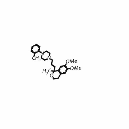 COc1cc2c(cc1OC)C(C)(CCCN1CCN(c3ccccc3C)CC1)OCC2